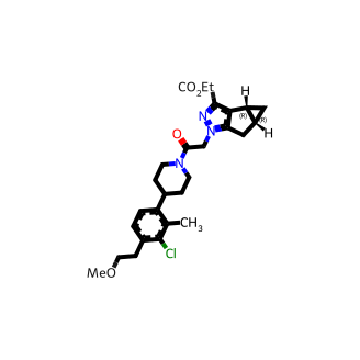 CCOC(=O)c1nn(CC(=O)N2CCC(c3ccc(CCOC)c(Cl)c3C)CC2)c2c1[C@@H]1C[C@@H]1C2